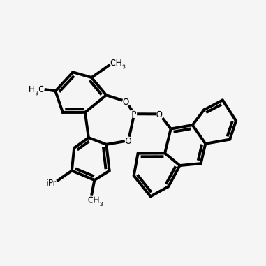 Cc1cc(C)c2op(Oc3c4ccccc4cc4ccccc34)oc3cc(C)c(C(C)C)cc3c2c1